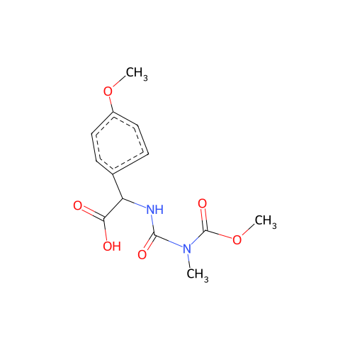 COC(=O)N(C)C(=O)NC(C(=O)O)c1ccc(OC)cc1